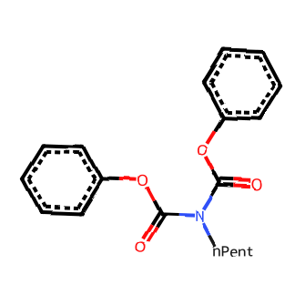 CCCCCN(C(=O)Oc1ccccc1)C(=O)Oc1ccccc1